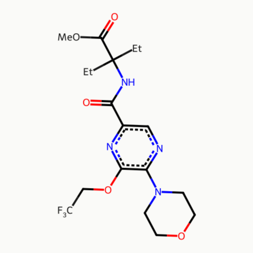 CCC(CC)(NC(=O)c1cnc(N2CCOCC2)c(OCC(F)(F)F)n1)C(=O)OC